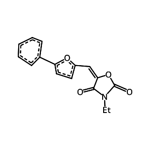 CCN1C(=O)OC(=Cc2ccc(-c3ccccc3)o2)C1=O